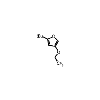 CC(C)(C)c1cc(OCC(F)(F)F)co1